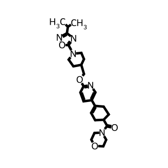 CC(C)c1noc(N2CCC(COc3ccc(C4=CCC(C(=O)N5CCOCC5)CC4)cn3)CC2)n1